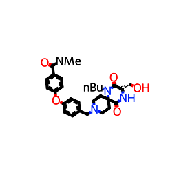 CCCCN1C(=O)[C@H](CO)NC(=O)C12CCN(Cc1ccc(Oc3ccc(C(=O)NC)cc3)cc1)CC2